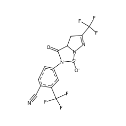 N#Cc1ccc(N2C(=O)C3CC(C(F)(F)F)=NN3[S+]2[O-])cc1C(F)(F)F